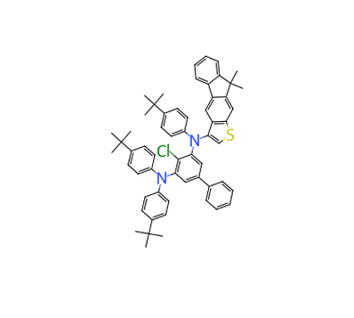 CC(C)(C)c1ccc(N(c2ccc(C(C)(C)C)cc2)c2cc(-c3ccccc3)cc(N(c3ccc(C(C)(C)C)cc3)c3csc4cc5c(cc34)-c3ccccc3C5(C)C)c2Cl)cc1